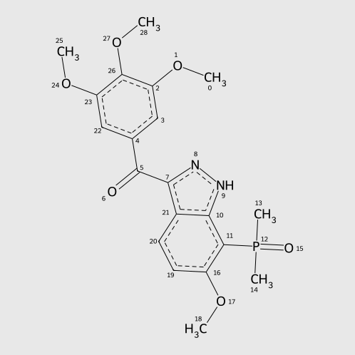 COc1cc(C(=O)c2n[nH]c3c(P(C)(C)=O)c(OC)ccc23)cc(OC)c1OC